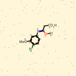 CCOC(CC(=O)O)=Nc1ccc(Br)c(OC)c1